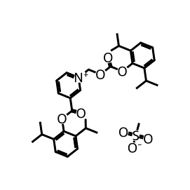 CC(C)c1cccc(C(C)C)c1OC(=O)OC[n+]1cccc(C(=O)Oc2c(C(C)C)cccc2C(C)C)c1.CS(=O)(=O)[O-]